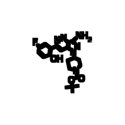 CC(C)(C)OC(=O)N1CCC(n2nc(N)c3nnc(-c4cc(F)ccc4O)cc32)CC1